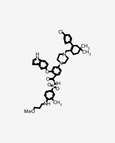 COCCCNc1ccc(S(=O)(=O)NC(=O)c2ccc(N3CCN(CC4=C(c5ccc(Cl)cc5)CC(C)(C)CC4)CC3)cc2Oc2ccc3[nH]ccc3c2)cc1C